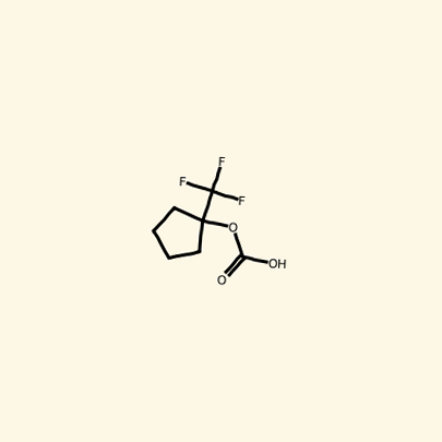 O=C(O)OC1(C(F)(F)F)CCCC1